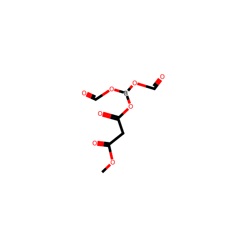 COC(=O)CC(=O)OB(OC=O)OC=O